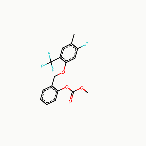 COC(=O)Oc1ccccc1COc1cc(F)c(C)cc1C(F)(F)F